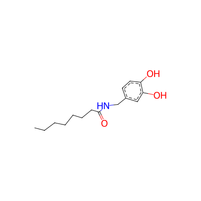 CCCCCCCC(=O)NCc1ccc(O)c(O)c1